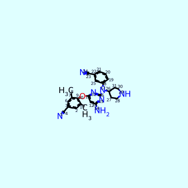 Cc1cc(C#N)cc(C)c1Oc1cc(N)nc(N(c2cccc(C#N)c2)C2CCNCC2)n1